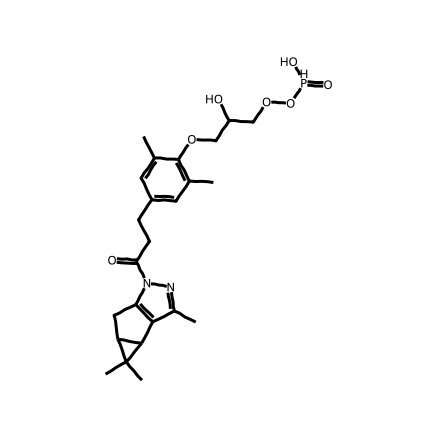 Cc1cc(CCC(=O)n2nc(C)c3c2CC2C3C2(C)C)cc(C)c1OCC(O)COO[PH](=O)O